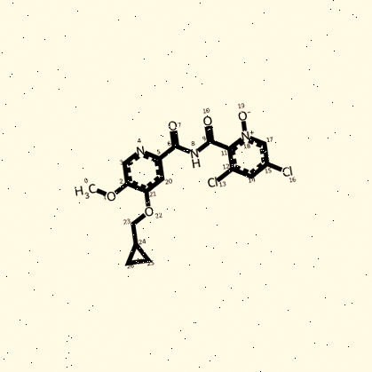 COc1cnc(C(=O)NC(=O)c2c(Cl)[c]c(Cl)c[n+]2[O-])cc1OCC1CC1